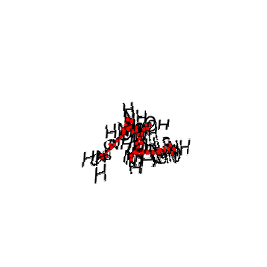 O=C(CCCC[C@@H]1SCC2NC(=O)NC21)NCCCCCC(=O)NC(Cc1c[nH]cn1)C(=O)NC1CCN(c2nc(N3CCC(NC(=O)C(Cc4c[nH]cn4)NC(=O)CCCCCNC(=O)CCCC[C@H]4SCC5NC(=O)NC54)CC3)nc(N3CCC(C(=O)O)CC3)n2)CC1